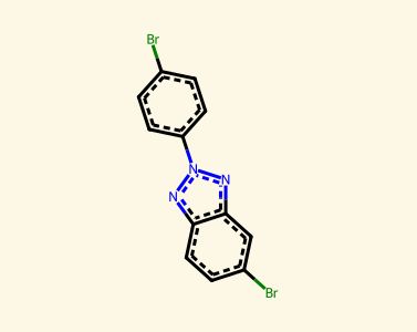 Brc1ccc(-n2nc3ccc(Br)cc3n2)cc1